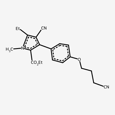 CCOC(=O)c1c(-c2ccc(OCCCC#N)cc2)c(C#N)c(CC)n1C